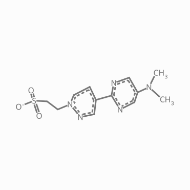 CN(C)c1cnc(-c2cc[n+](CCS(=O)(=O)[O-])nc2)nc1